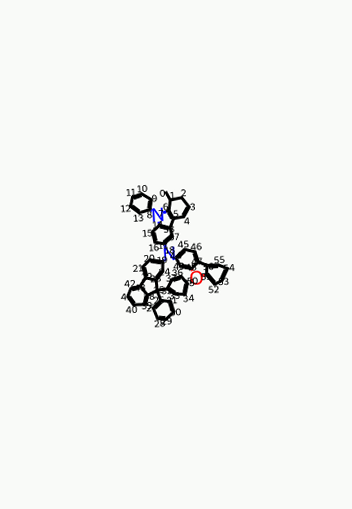 CC1CC=Cc2c1n(-c1ccccc1)c1ccc(N(c3ccc4c(c3)C(c3ccccc3)(c3ccccc3)c3ccccc3-4)c3ccc4c(c3)oc3ccccc34)cc21